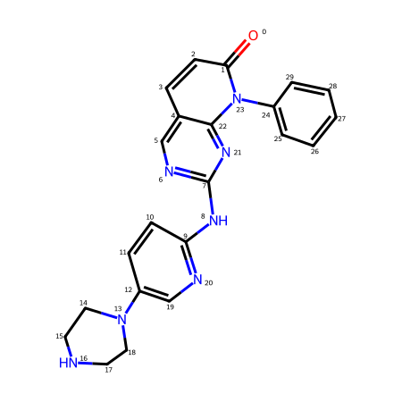 O=c1ccc2cnc(Nc3ccc(N4CCNCC4)cn3)nc2n1-c1ccccc1